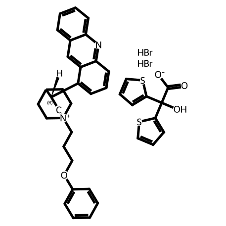 Br.Br.O=C([O-])C(O)(c1cccs1)c1cccs1.c1ccc(OCCC[N+]23CCC(CC2)[C@H](c2cccc4nc5ccccc5cc24)C3)cc1